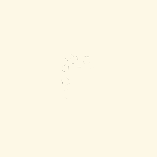 C/C(=C/c1ccccc1C(F)(F)F)c1ccnc2[nH]c3ccc(-c4ccc(N5CCN(C)CC5)cc4)cc3c12